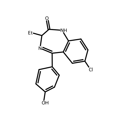 CCC1N=C(c2ccc(O)cc2)c2cc(Cl)ccc2NC1=O